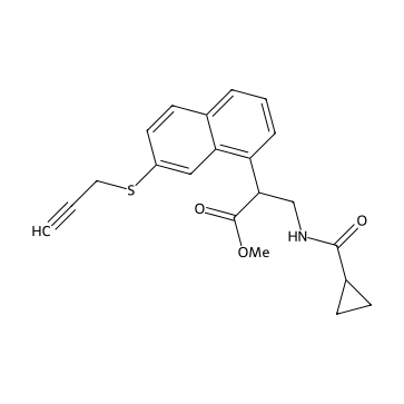 C#CCSc1ccc2cccc(C(CNC(=O)C3CC3)C(=O)OC)c2c1